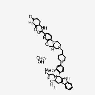 COc1cc(N2CCC(CN3CCN4c5ccc(C(=O)NC6CCC(=O)NC6=O)nc5OC[C@H]4C3)CC2)ccc1[C@@H]1c2[nH]c3ccccc3c2C[C@@H](C)N1CC(F)F.O=CO